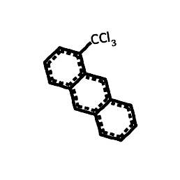 ClC(Cl)(Cl)c1cccc2cc3ccccc3cc12